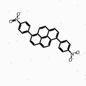 O=[N+]([O-])c1ccc(-c2ccc3ccc4c(-c5ccc([N+](=O)[O-])cc5)ccc5ccc2c3c54)cc1